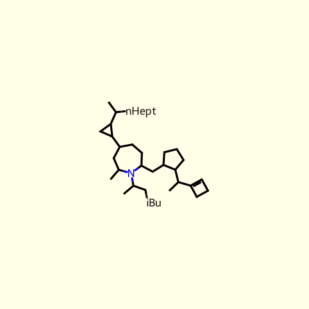 CCCCCCCC(C)C1CC1C1CCC(CC2CCCC2C(C)C2=CCC2)N(C(C)CC(C)CC)C(C)C1